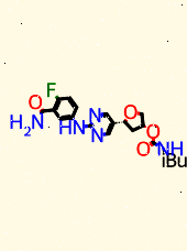 CC[C@H](C)NC(=O)O[C@H]1CO[C@@H](c2cnc(Nc3ccc(F)c(C(N)=O)c3)nc2)C1